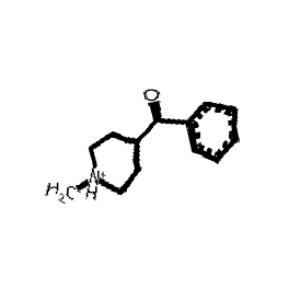 [CH2-][NH+]1CCC(C(=O)c2ccccc2)CC1